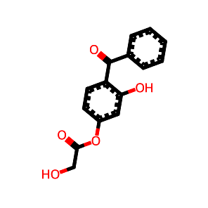 O=C(CO)Oc1ccc(C(=O)c2ccccc2)c(O)c1